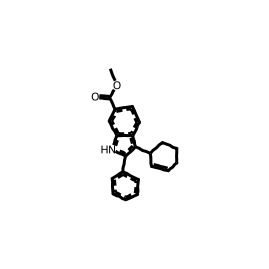 COC(=O)c1ccc2c(C3C=CCCC3)c(-c3ccccc3)[nH]c2c1